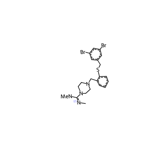 C/N=C(/NC)N1CCN(Cc2ccccc2SCc2cc(Br)cc(Br)c2)CC1